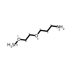 NCCCOCCO[SiH3]